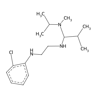 CC(C)C(NCCNc1ccccc1Cl)N(C)C(C)C